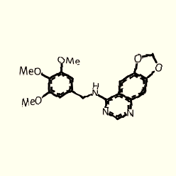 COc1cc(CNc2ncnc3cc4c(cc23)OCO4)cc(OC)c1OC